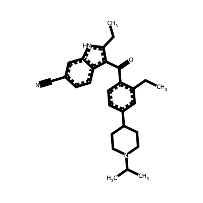 CCc1cc(C2CCN(C(C)C)CC2)ccc1C(=O)c1c(CC)[nH]c2cc(C#N)ccc12